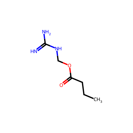 CCCC(=O)OCNC(=N)N